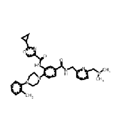 Cc1ccccc1N1CCN(c2ccc(C(=O)NCc3cccc(CN(C)C)n3)cc2NC(=O)c2coc(C3CC3)n2)CC1